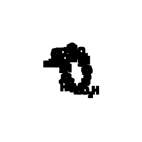 CCCCN(C(=O)c1ccccc1F)c1nnc(-c2cc(C)c(CN3CC(C(=O)O)C3)c(C)c2)s1.CCN(C(=O)c1cccc(Cl)c1F)c1nnc(-c2ccc(CN3CC(C(=O)O)C3)cc2)s1